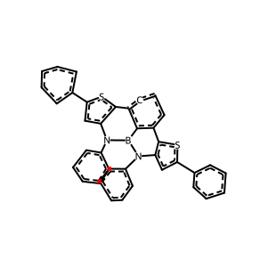 c1ccc(-c2cc3c(s2)-c2cccc4c2B(N3c2ccccc2)N(c2ccccc2)c2cc(-c3ccccc3)sc2-4)cc1